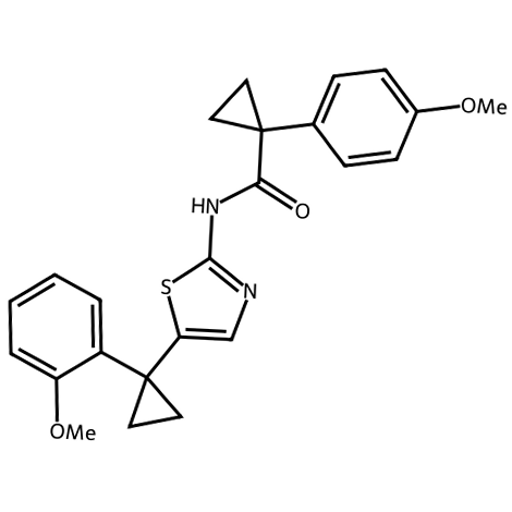 COc1ccc(C2(C(=O)Nc3ncc(C4(c5ccccc5OC)CC4)s3)CC2)cc1